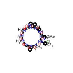 CC[C@H](C)[C@@H]1NC(=O)[C@H](CC(C)C)N(C)C(=O)C[C@@H](C(=O)N2CCCCC2)N(C)C(=O)[C@H](C2CCCCC2)N(C)C(=O)C2(CCCC2)NC(=O)[C@H](Cc2cncc(OC)c2)N(C)C(=O)[C@H](CCc2ccc(C(F)(F)F)c(Cl)c2)NC(=O)CN(C)C(=O)[C@H](CC2CCCCC2)N(C)C(=O)[C@@H]2CCN2C(=O)CN(C)C1=O